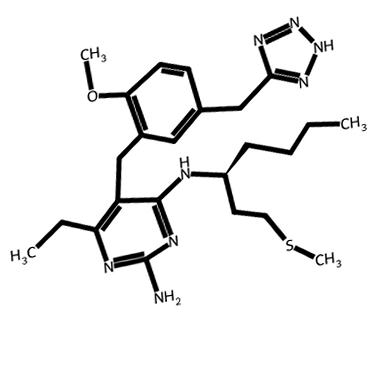 CCCC[C@@H](CCSC)Nc1nc(N)nc(CC)c1Cc1cc(Cc2nn[nH]n2)ccc1OC